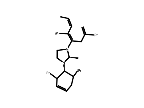 C=C(C/C(=C(\C=C/C)C(C)C)N1CCN([C@@H]2C(C(C)C)C=CCC2C(C)C)[C@@H]1C)C(C)C